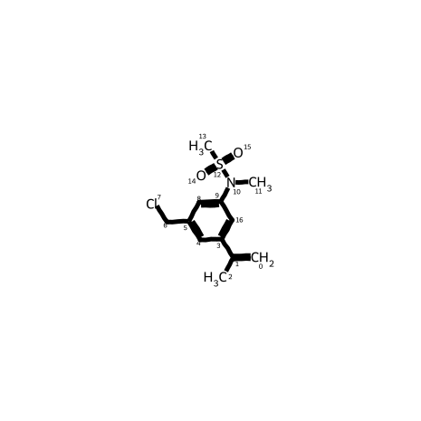 C=C(C)c1cc(CCl)cc(N(C)S(C)(=O)=O)c1